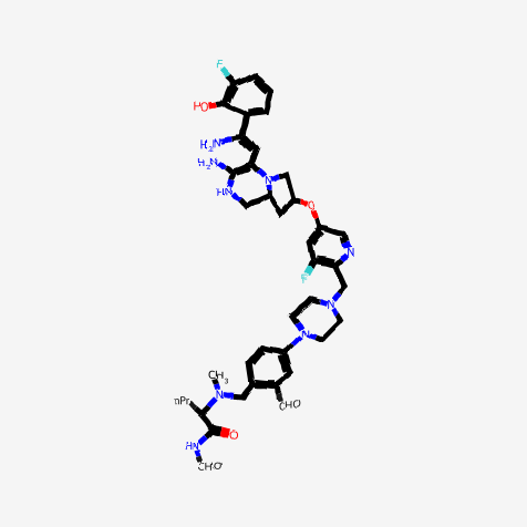 CCCC(C(=O)NC=O)N(C)Cc1ccc(N2CCN(Cc3ncc(OC4CC5CNC(N)=C(/C=C(\N)c6cccc(F)c6O)N5C4)cc3F)CC2)cc1C=O